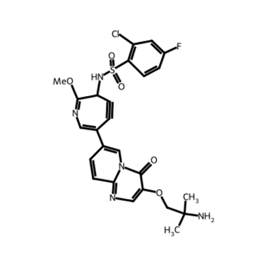 COC1=NC=C(c2ccc3ncc(OCC(C)(C)N)c(=O)n3c2)C#CC1NS(=O)(=O)c1ccc(F)cc1Cl